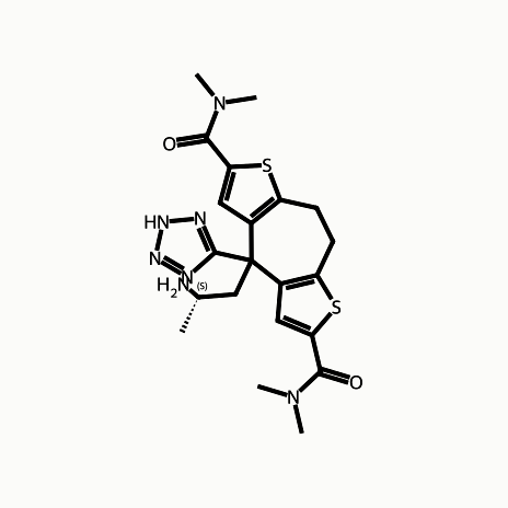 C[C@H](N)CC1(c2nn[nH]n2)c2cc(C(=O)N(C)C)sc2CCc2sc(C(=O)N(C)C)cc21